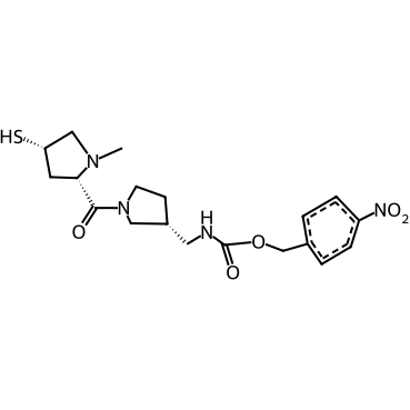 CN1C[C@@H](S)C[C@H]1C(=O)N1CC[C@H](CNC(=O)OCc2ccc([N+](=O)[O-])cc2)C1